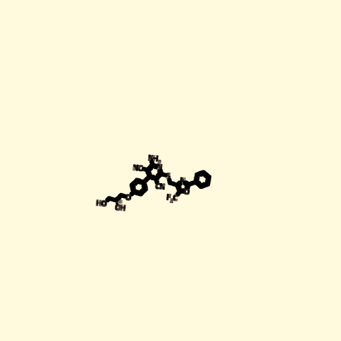 N#Cc1c(N)nc(SCc2nc(-c3ccccc3)oc2C(F)(F)F)c(C#N)c1-c1ccc(OC[C@H](O)CO)cc1